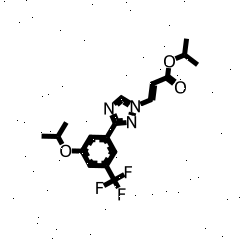 CC(C)OC(=O)/C=C/n1cnc(-c2cc(OC(C)C)cc(C(F)(F)F)c2)n1